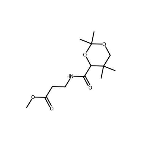 COC(=O)CCNC(=O)C1OC(C)(C)OCC1(C)C